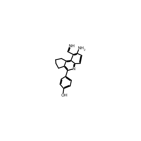 N=Cc1c(N)ccc2nc(-c3ccc(O)cc3)c3c(c12)CCCC3